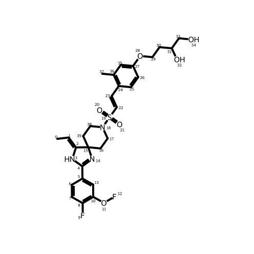 CC=C1NC(c2ccc(F)c(OF)c2)=NC12CCN(S(=O)(=O)/C=C/c1ccc(OCCC(O)CO)cc1C)CC2